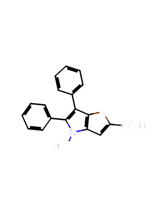 Cn1c(-c2ccccc2)c(-c2ccccc2)c2sc(C(=O)O)cc21